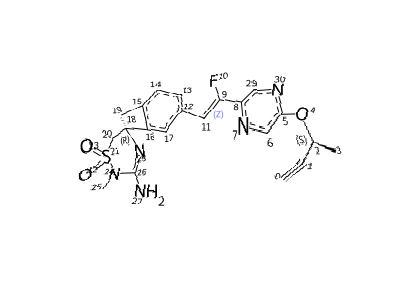 C#C[C@H](C)Oc1cnc(/C(F)=C/c2ccc3c(c2)[C@]2(C3)CS(=O)(=O)N(C)C(N)=N2)cn1